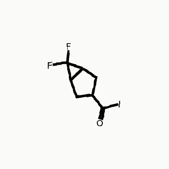 O=C(I)C1CC2C(C1)C2(F)F